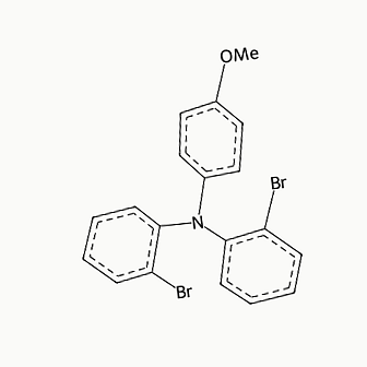 COc1ccc(N(c2ccccc2Br)c2ccccc2Br)cc1